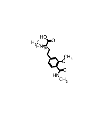 CNC(=O)c1ccc(CC[C@@H](NC)C(=O)O)cc1OC